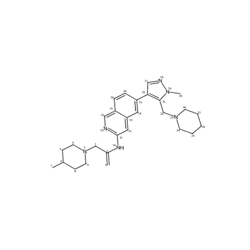 C=C(CN1CCC(C)CC1)Nc1cc2cc(-c3cnn(C)c3CN3CCCCC3)ccc2cn1